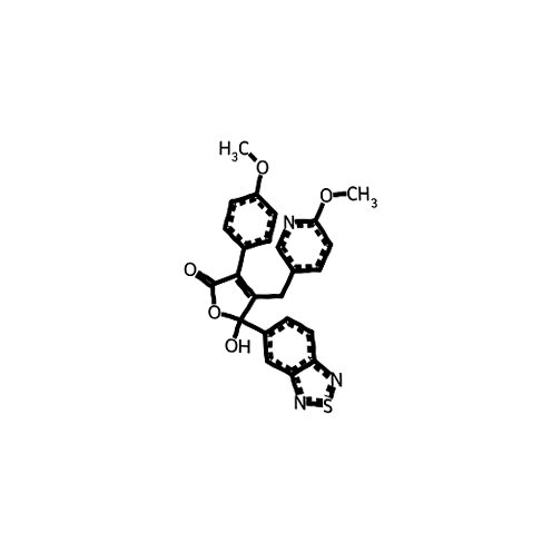 COc1ccc(C2=C(Cc3ccc(OC)nc3)C(O)(c3ccc4nsnc4c3)OC2=O)cc1